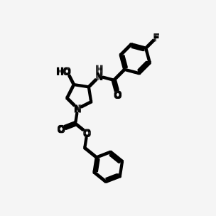 O=C(NC1CN(C(=O)OCc2ccccc2)CC1O)c1ccc(F)cc1